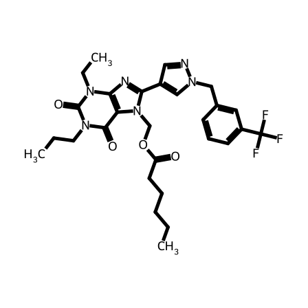 CCCCCC(=O)OCn1c(-c2cnn(Cc3cccc(C(F)(F)F)c3)c2)nc2c1c(=O)n(CCC)c(=O)n2CC